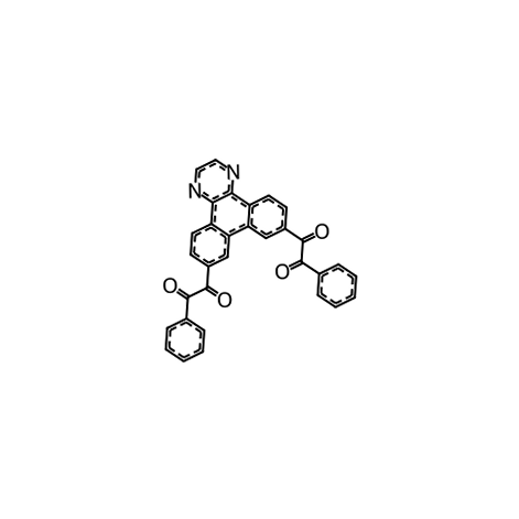 O=C(C(=O)c1ccc2c(c1)c1cc(C(=O)C(=O)c3ccccc3)ccc1c1nccnc21)c1ccccc1